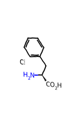 N[C@@H](Cc1ccccc1)C(=O)O.[C]